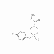 CC(C)(C)OC(=O)N1CCC(C)(Oc2ccc(F)cc2)CC1